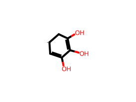 OC1=C[CH]CC(O)=C1O